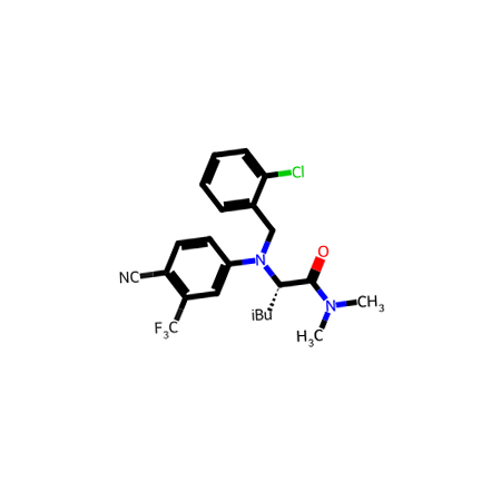 CCC(C)[C@@H](C(=O)N(C)C)N(Cc1ccccc1Cl)c1ccc(C#N)c(C(F)(F)F)c1